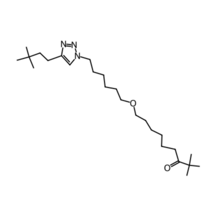 CC(C)(C)CCc1cn(CCCCCCOCCCCCCC(=O)C(C)(C)C)nn1